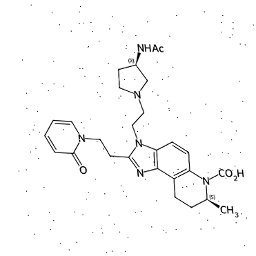 CC(=O)N[C@@H]1CCN(CCn2c(CCn3ccccc3=O)nc3c4c(ccc32)N(C(=O)O)[C@@H](C)CC4)C1